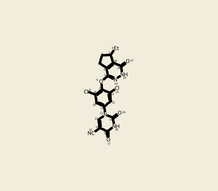 CCC1CCc2c(Oc3c(Cl)cc(-n4cc(C#N)c(=O)[nH]c4=O)cc3Cl)n[nH]c(=O)c21